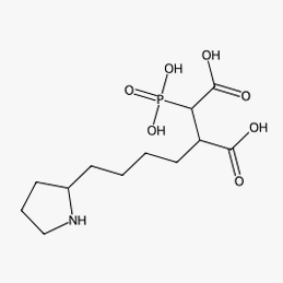 O=C(O)C(CCCCC1CCCN1)C(C(=O)O)P(=O)(O)O